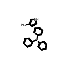 Oc1cc[nH]c1.c1ccc(P(c2ccccc2)c2ccccc2)cc1